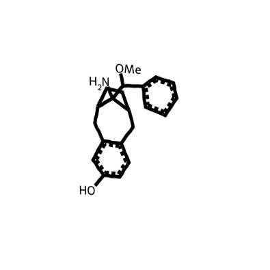 COC(c1ccccc1)C1(N)C2CCC1Cc1cc(O)ccc1C2